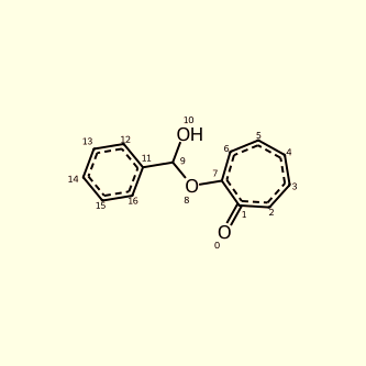 O=c1cccccc1OC(O)c1ccccc1